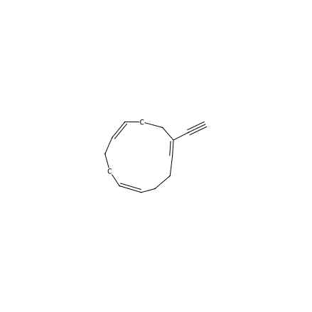 C#CC1=CCCC=CCCC=CCC1